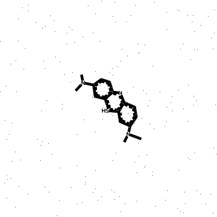 CN(C)c1ccc2nc3ccc(N(C)C)cc3[siH]c2c1